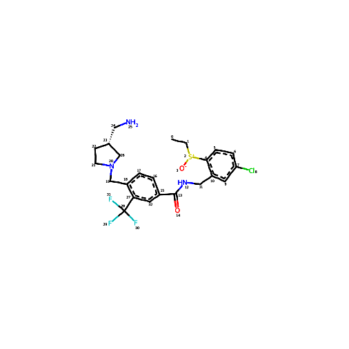 CC[S+]([O-])c1ccc(Cl)cc1CNC(=O)c1ccc(CN2CC[C@H](CN)C2)c(C(F)(F)F)c1